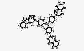 c1ccc2nc(-c3ccc(N(c4ccc(-c5cnc6oc7ccccc7c6c5)cc4)c4ccc(-c5ccc6ccccc6n5)cc4)cc3)ccc2c1